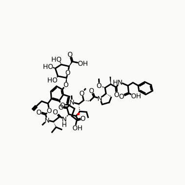 C#CCC(OC(=O)N(C)[C@H](C(=O)N[C@H](C(=O)N(C)[C@@H](C(C)CC)[C@@H](CC(=O)N1CCC[C@H]1[C@H](OC)[C@@H](C)C(=O)NC(Cc1ccccc1)C(=O)O)OC)C(C)C)C(C)C)c1ccc(O[C@@H]2O[C@H](C(=O)O)[C@@H](O)[C@H](O)[C@H]2O)c2cc(CCC(=O)O)oc12